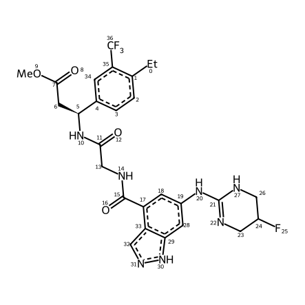 CCc1ccc([C@H](CC(=O)OC)NC(=O)CNC(=O)c2cc(NC3=NCC(F)CN3)cc3[nH]ncc23)cc1C(F)(F)F